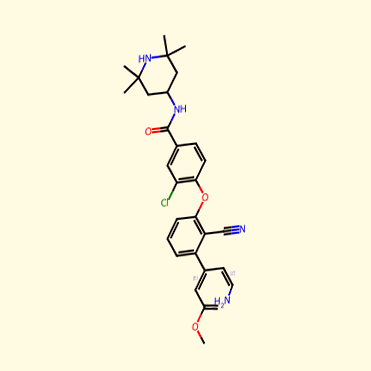 C=C(/C=C(\C=C/N)c1cccc(Oc2ccc(C(=O)NC3CC(C)(C)NC(C)(C)C3)cc2Cl)c1C#N)OC